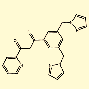 O=C(CC(=O)c1ccccn1)c1cc(Cn2cccn2)cc(Cn2cccn2)c1